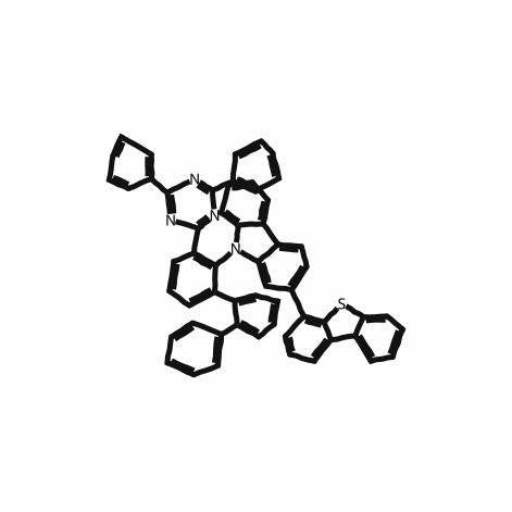 c1ccc(-c2nc(-c3ccccc3)nc(-c3cccc(-c4ccccc4-c4ccccc4)c3-n3c4ccccc4c4ccc(-c5cccc6c5sc5ccccc56)cc43)n2)cc1